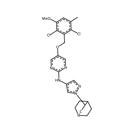 COc1cc(C)c(Cl)c(COc2cnc(Nc3cnn(C4CN5CCC4CC5)c3)nc2)c1Cl